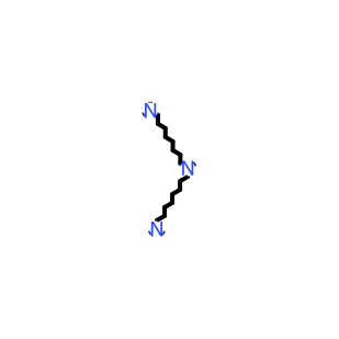 CN(C)CCCCCCCCN(C)CCCCCCCCN(C)C